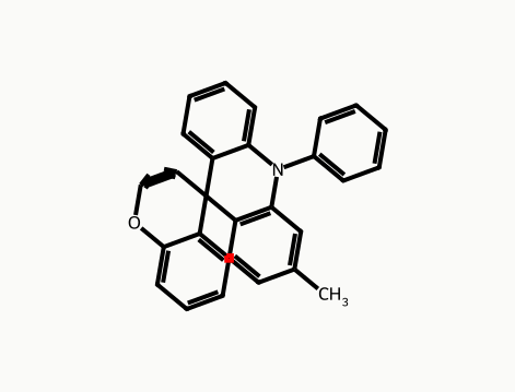 Cc1ccc2c(c1)N(c1ccccc1)c1ccccc1C21c2ccccc2Oc2ccccc21